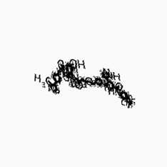 Cc1ncsc1-c1ccc(CNC(=O)[C@@H]2C[C@@H](O)CN2C(=O)C(NC(=O)CCOCC2CCN(c3ncc(C(=O)Nc4ccc(OC(F)(F)Cl)cc4)cc3-c3ccn[nH]3)C2)C(C)(C)C)cc1